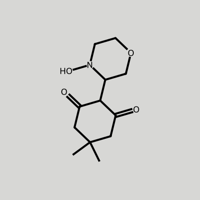 CC1(C)CC(=O)C(C2COCCN2O)C(=O)C1